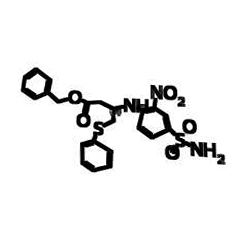 NS(=O)(=O)c1ccc(N[C@@H](CSc2ccccc2)CC(=O)OCc2ccccc2)c([N+](=O)[O-])c1